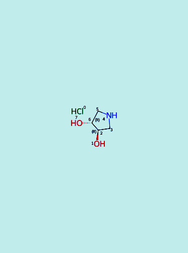 Cl.O[C@@H]1CNC[C@H]1O